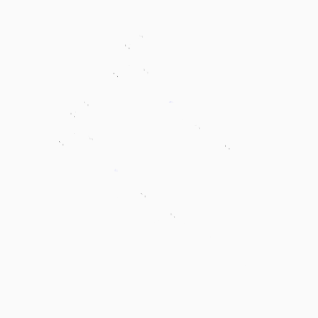 NNC(N)=[N+]=C/C=C/c1cccn1-c1ccccc1[N+](=O)[O-].NNC(N)=[N+]=C/C=C/c1cccn1-c1ccccc1[N+](=O)[O-].O=C([O-])CCC(=O)[O-]